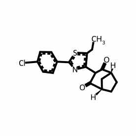 CCc1sc(-c2ccc(Cl)cc2)nc1C1C(=O)[C@@H]2CC[C@@H](C2)C1=O